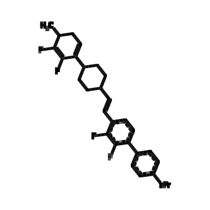 CCCc1ccc(-c2ccc(/C=C/C3CCC(C4=CCC(C)C(F)=C4F)CC3)c(F)c2F)cc1